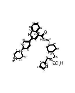 CN1CCN(c2ccc(-c3cc(C(=O)NC[C@H]4CC[C@H](CN(Cc5nccs5)C(=O)O)CC4)c4ccccc4n3)cn2)CC1